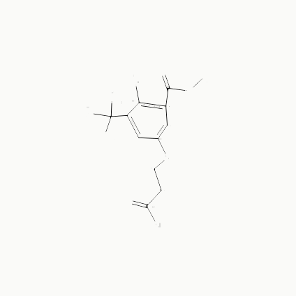 COC(=O)c1cc(NCCC(N)=O)cc(C(C)(C)C)c1O